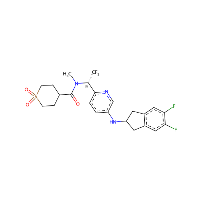 CN(C(=O)C1CCS(=O)(=O)CC1)[C@@H](c1ccc(NC2Cc3cc(F)c(F)cc3C2)cn1)C(F)(F)F